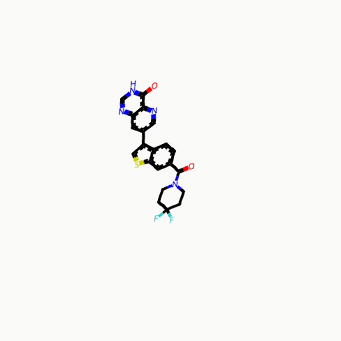 O=C(c1ccc2c(-c3cnc4c(=O)[nH]cnc4c3)csc2c1)N1CCC(F)(F)CC1